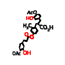 CC(=O)Oc1ccc(/C=C/C(=O)Oc2ccc(C/C(=C\c3ccc(OC(C)=O)c(O)c3)C(=O)O)c(C)c2)cc1O